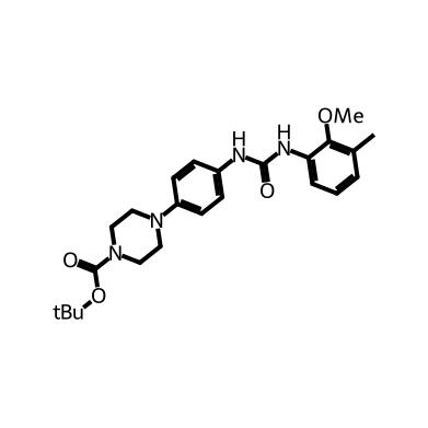 COc1c(C)cccc1NC(=O)Nc1ccc(N2CCN(C(=O)OC(C)(C)C)CC2)cc1